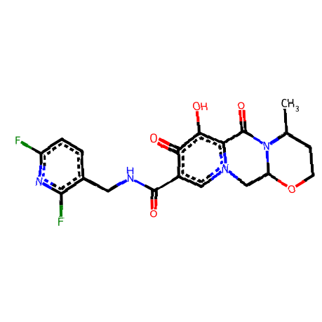 CC1CCOC2Cn3cc(C(=O)NCc4ccc(F)nc4F)c(=O)c(O)c3C(=O)N12